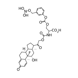 C[C@]12C[C@H](O)C3(F)[C@@H](CCC4=CC(=O)C=C[C@@]43C)C1CCC2C(=O)COC(=O)NC(COC(=O)Oc1cccc(CON(O)O)c1)C(=O)O